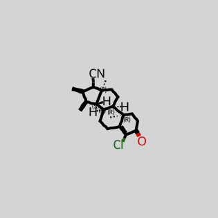 C=C1C(=C)[C@H]2[C@@H]3CCC4=C(Cl)C(=O)CC[C@]4(C)[C@@H]3CC[C@]2(C)C1C#N